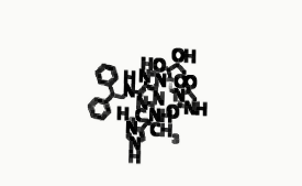 CC(C)(Nc1nc(NCC(c2ccccc2)c2ccccc2)c2ncn([C@]3(CN4C(=O)CNC4=O)OCC(O)[C@@H]3O)c2n1)c1c[nH]cn1